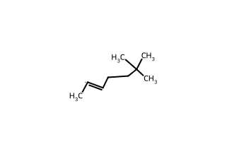 C[C]=CCCC(C)(C)C